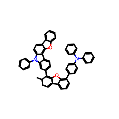 CC1CC=c2c(oc3c(-c4ccc(N(c5ccccc5)c5ccccc5)cc4)cccc23)=C1c1ccc2c3c4oc5ccccc5c4ccc3n(-c3ccccc3)c2c1